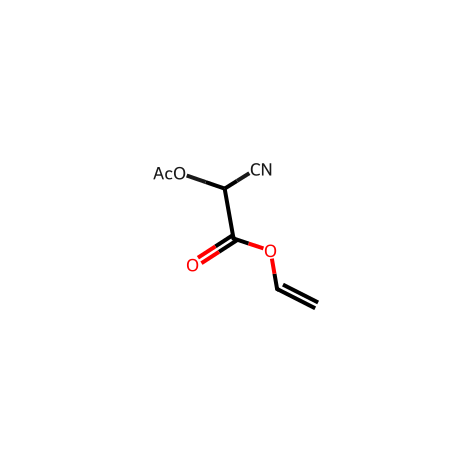 C=COC(=O)C(C#N)OC(C)=O